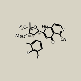 CO[C@H]1[C@@H](c2ccc(F)c(F)c2C)[C@H](c2cc(=O)c3c(C#N)nccc3[nH]2)O[C@@]1(C)C(F)(F)F